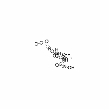 O=C(NS(=O)(=O)c1ccc(N[C@@H](CSc2ccccc2)C[C@H]2CCCN2CCO)c(S(=O)(=O)C(F)(F)F)c1)c1ccc(N2CCC(Cc3ccccc3-c3ccc(Cl)cc3)CC2)cc1